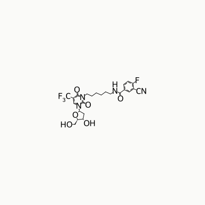 N#Cc1cc(C(=O)NCCCCCCn2c(=O)c(C(F)(F)F)cn([C@H]3C[C@H](O)[C@@H](CO)O3)c2=O)ccc1F